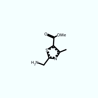 COC(=O)c1sc(CN)nc1C